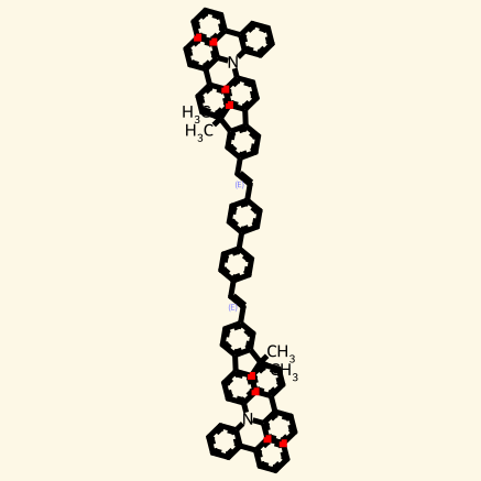 CC1(C)c2cc(/C=C/c3ccc(-c4ccc(/C=C/c5ccc6c(c5)C(C)(C)c5cc(N(c7ccccc7-c7ccccc7)c7ccccc7-c7ccccc7)ccc5-6)cc4)cc3)ccc2-c2ccc(N(c3ccccc3-c3ccccc3)c3ccccc3-c3ccccc3)cc21